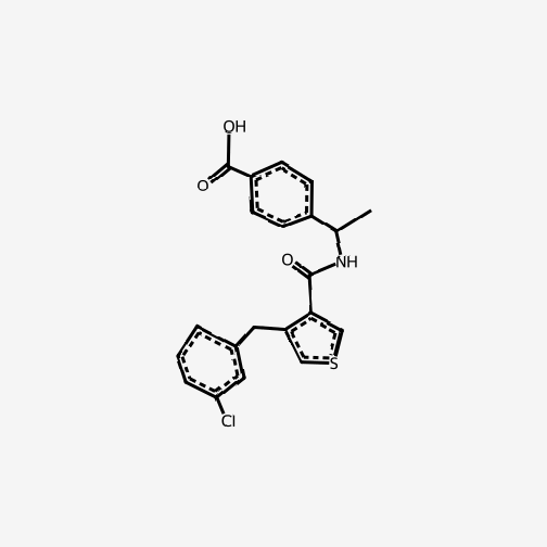 CC(NC(=O)c1cscc1Cc1cccc(Cl)c1)c1ccc(C(=O)O)cc1